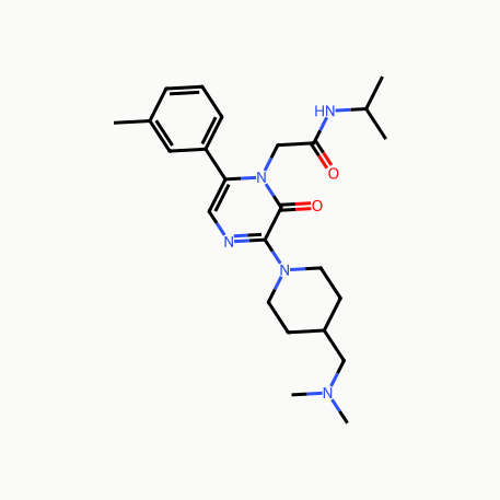 Cc1cccc(-c2cnc(N3CCC(CN(C)C)CC3)c(=O)n2CC(=O)NC(C)C)c1